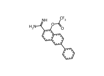 N=C(N)c1ccc2cc(-c3ccccc3)ccc2c1OC(=O)C(F)(F)F